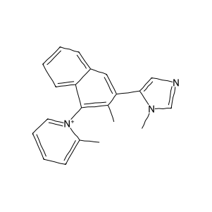 Cc1c(-c2cncn2C)cc2ccccc2c1-[n+]1ccccc1C